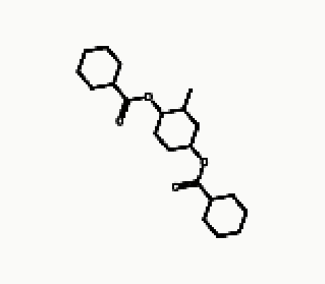 CC1CC(OC(=O)C2CCCCC2)CCC1OC(=O)C1CCCCC1